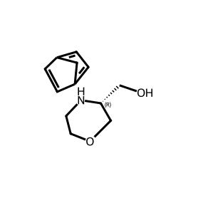 C1=CC2=CC=C1C2.OC[C@@H]1COCCN1